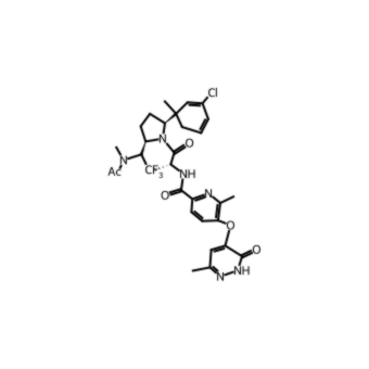 CC(=O)N(C)C([C@H]1CC[C@@H](C2(C)C=C(Cl)C=CC2)N1C(=O)[C@@H](C)NC(=O)c1ccc(Oc2cc(C)n[nH]c2=O)c(C)n1)C(F)(F)F